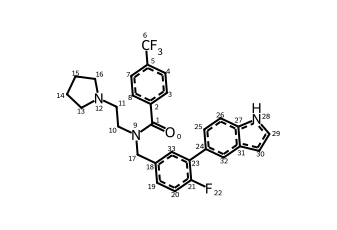 O=C(c1ccc(C(F)(F)F)cc1)N(CCN1CCCC1)Cc1ccc(F)c(-c2ccc3[nH]ccc3c2)c1